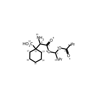 CCCC(OC(=O)C(C)C)OC(=O)C(N)C1(C(=O)O)CCCCC1